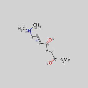 CNC(=O)CCC(=O)/C=C/CN(C)C